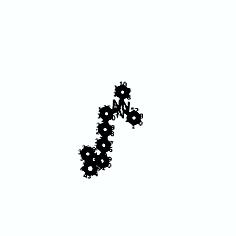 c1ccc(-c2nc(-c3ccccc3)nc(-c3cccc(-c4ccc(-c5ccc(-c6cccc7c6-c6ccccc6C76CCCCC6)cc5)cc4)c3)n2)cc1